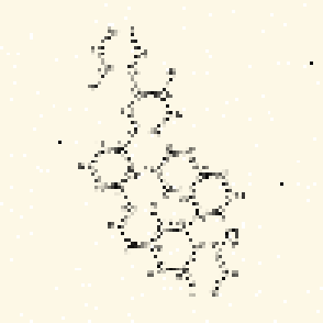 Cc1ccccc1-c1cc(-c2cccc(-c3ccc4c(c3)N(c3cccc5ccccc35)c3c(Cl)cccc3S4)c2)ccc1C